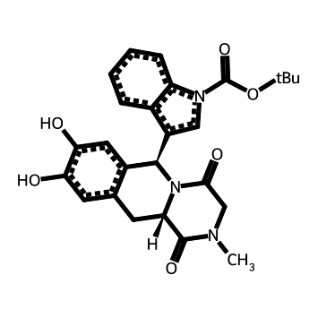 CN1CC(=O)N2[C@H](c3cn(C(=O)OC(C)(C)C)c4ccccc34)c3cc(O)c(O)cc3C[C@H]2C1=O